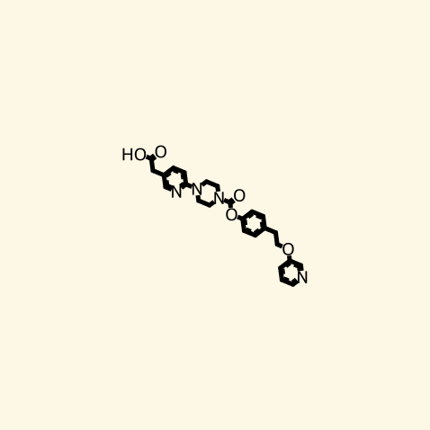 O=C(O)Cc1ccc(N2CCN(C(=O)Oc3ccc(CCOc4cccnc4)cc3)CC2)nc1